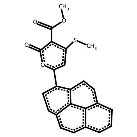 COC(=O)c1c(SC)cc(-c2ccc3ccc4cccc5ccc2c3c45)oc1=O